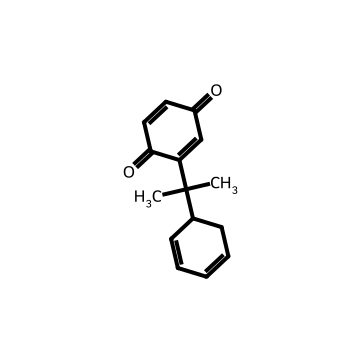 CC(C)(C1=CC(=O)C=CC1=O)C1C=CC=CC1